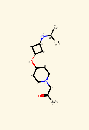 CSC(=O)CN1CCC(O[C@H]2C[C@H](N[C@H](C)C(C)C)C2)CC1